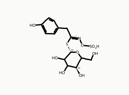 O=S(=O)(O)O/N=C(/Cc1ccc(O)cc1)S[C@@H]1OC(CO)[C@@H](O)C(O)C1O